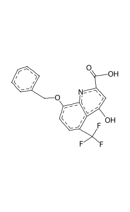 O=C(O)c1cc(O)c2c(C(F)(F)F)ccc(OCc3ccccc3)c2n1